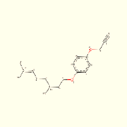 C#CCOc1ccc(OCCC(C)CCC=C(C)C)cc1